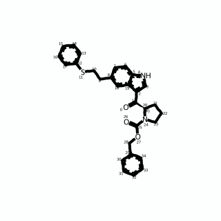 O=C(c1c[nH]c2ccc(CCSc3ccccc3)cc12)[C@H]1CCCN1C(=O)OCc1ccccc1